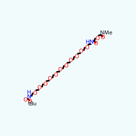 CNC(=O)COCC(=O)NCCOCCOCCOCCOCCOCCOCCOCCOCCOCCOCCOCCNC(=O)OC(C)(C)C